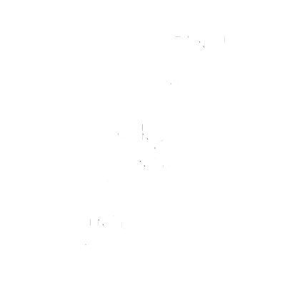 CN(C)CCCOc1ccc(/C=c2\[nH]c(=O)/c(=C/c3ccc(C(=O)NCc4ccccc4)cc3)[nH]c2=O)cc1